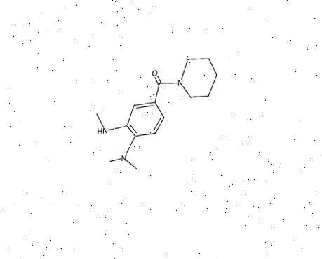 CNc1cc(C(=O)N2CCCCC2)ccc1N(C)C